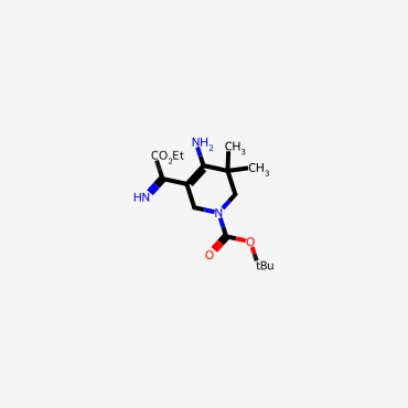 CCOC(=O)C(=N)C1=C(N)C(C)(C)CN(C(=O)OC(C)(C)C)C1